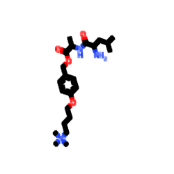 CC(C)CC(N)C(=O)NC(C)C(=O)OCc1ccc(OCCCC[N+](C)(C)C)cc1